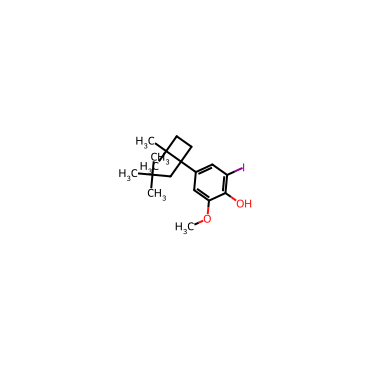 COc1cc(C2(CC(C)(C)C)CCC2(C)C)cc(I)c1O